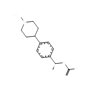 [3H]C(=S)N[C@@H](C)c1ccc(C2CCN(C)CC2)cc1